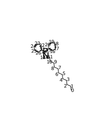 CCCCCCCCCCCCN(C)P(c1ccccc1)c1ccccc1